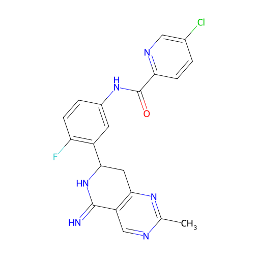 Cc1ncc2c(n1)CC(c1cc(NC(=O)c3ccc(Cl)cn3)ccc1F)NC2=N